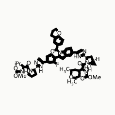 COC(=O)NC(C(=O)N1CCC[C@H]1c1ncc(-c2cc(F)c3c(c2)OC(c2ccc4c(c2)CCCO4)n2c-3cc3cc(-c4cnc([C@@H]5C[C@H]6C[C@H]6N5C(=O)C(NC(=O)OC)C5C[C@@H](C)O[C@@H](C)C5)[nH]4)ccc32)[nH]1)C(C)C